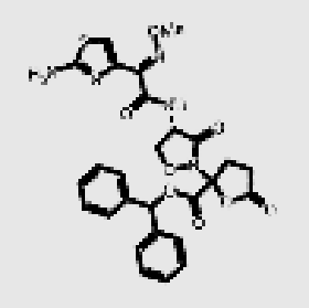 CON=C(C(=O)N[C@H]1CON(C2(C(=O)OC(c3ccccc3)c3ccccc3)CCC(=O)O2)C1=O)c1csc(N)n1